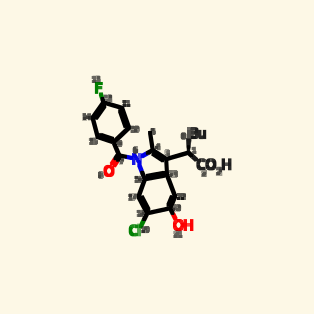 CCC(C)[C@@H](C(=O)O)c1c(C)n(C(=O)c2ccc(F)cc2)c2cc(Cl)c(O)cc12